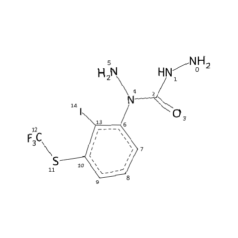 NNC(=O)N(N)c1cccc(SC(F)(F)F)c1I